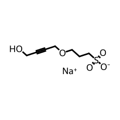 O=S(=O)([O-])CCCOCC#CCO.[Na+]